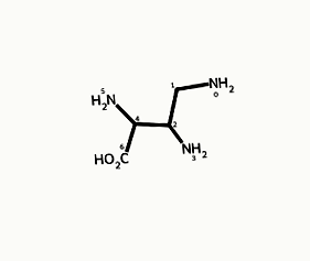 NCC(N)C(N)C(=O)O